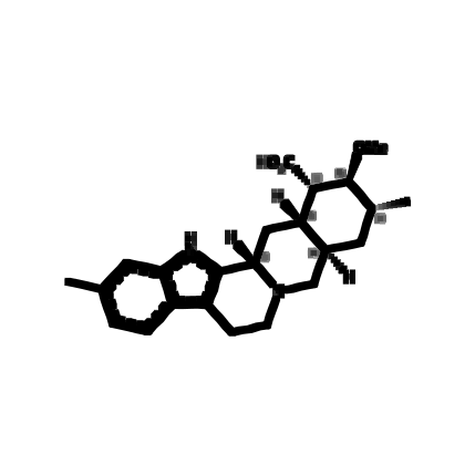 CO[C@@H]1[C@@H](C(=O)O)[C@H]2C[C@H]3c4[nH]c5cc(C)ccc5c4CCN3C[C@@H]2C[C@H]1C